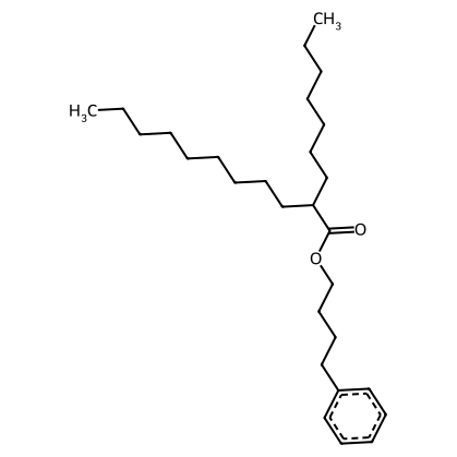 CCCCCCCCCC(CCCCCCC)C(=O)OCCCCc1ccccc1